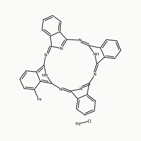 [Cl][Pd].[Fe][c]1cccc2c3nc4nc(nc5[nH]c(nc6nc(nc([nH]3)c12)-c1ccccc1-6)c1ccccc51)-c1ccccc1-4